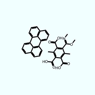 CN=C(OC)c1c(C)c(C(=O)O)c(C(=O)O)c(C)c1C(=O)O.c1cc2cccc3c4cccc5cccc(c(c1)c23)c54